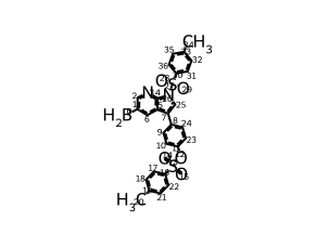 Bc1cnc2c(c1)c(-c1ccc(OS(=O)(=O)c3ccc(C)cc3)cc1)cn2S(=O)(=O)c1ccc(C)cc1